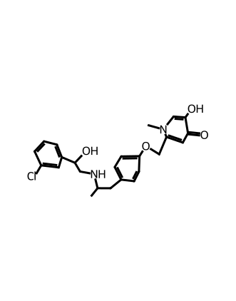 CC(Cc1ccc(OCc2cc(=O)c(O)cn2C)cc1)NCC(O)c1cccc(Cl)c1